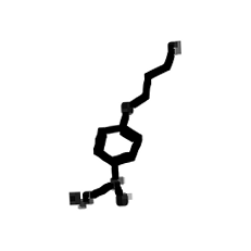 C[S+]([O-])c1ccc(OCCCCl)cc1